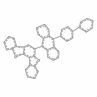 c1ccc(-c2ccc(-c3c4ccccc4c(-c4cc5c6ccccc6oc5c5c4oc4ccccc45)c4ccccc34)cc2)cc1